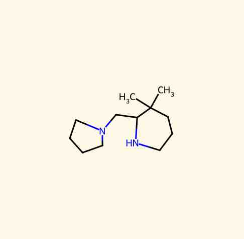 CC1(C)CCCNC1CN1CCCC1